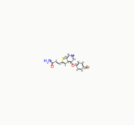 NC(=O)/C=C/c1cc2c(Oc3ccc(Br)cc3)cncc2s1